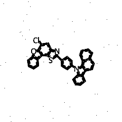 Clc1cc2nc(-c3ccc(-n4c5ccccc5c5ccc6ccccc6c54)cc3)sc2c2c1oc1ccccc12